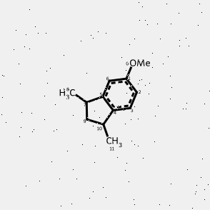 COc1ccc2c(c1)C(C)CC2C